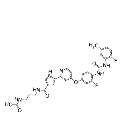 Cc1ccc(F)c(NC(=O)Nc2ccc(Oc3ccnc(-c4cc(C(=O)NCCCNC(=O)O)c[nH]4)c3)cc2F)c1